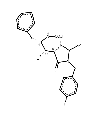 CC(C)C1N[C@@H]([C@H](O)[C@H](Cc2ccccc2)NC(=O)O)C(=O)N1Cc1ccc(F)cc1